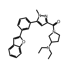 CCN(CC)C1CCN(C(=O)c2cc(-c3cccc(-c4cc5ccccc5o4)c3)n(C)n2)C1